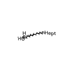 CCCCCCCCCCCCCCCCCCPO